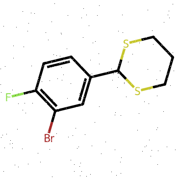 Fc1ccc([C]2SCCCS2)cc1Br